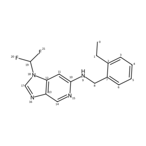 CCc1ccccc1CNc1cc2c(cn1)ncn2C(F)F